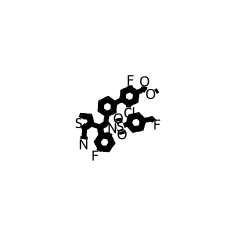 COC(=O)c1cc(Cl)c(-c2cccc(-c3c(-c4ccsc4C#N)c4cc(F)ccc4n3S(=O)(=O)c3ccc(CF)cc3)c2)cc1F